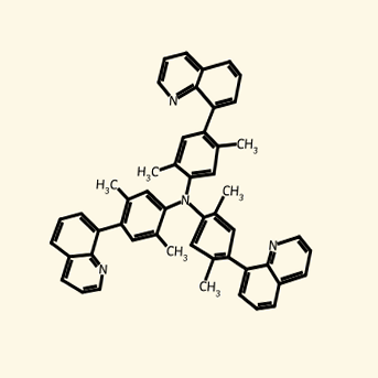 Cc1cc(N(c2cc(C)c(-c3cccc4cccnc34)cc2C)c2cc(C)c(-c3cccc4cccnc34)cc2C)c(C)cc1-c1cccc2cccnc12